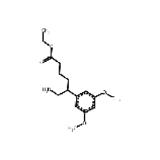 CCOC(=O)CCCC(CN)c1cc(OC)cc(OC)c1